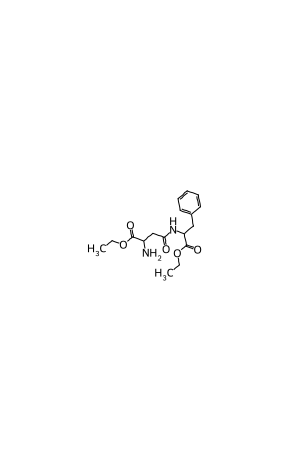 CCOC(=O)C(N)CC(=O)NC(Cc1ccccc1)C(=O)OCC